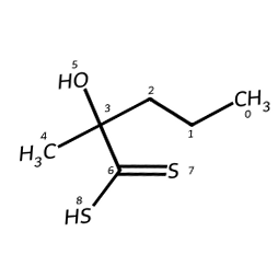 CCCC(C)(O)C(=S)S